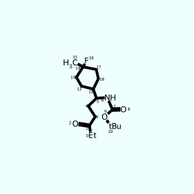 CCC(=O)CCC(NC(=O)OC(C)(C)C)C1CCC(C)(F)CC1